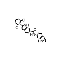 O=C(Nc1ccc2cn[nH]c2c1)c1ccc2nc(-c3c(Cl)cccc3Cl)[nH]c2c1